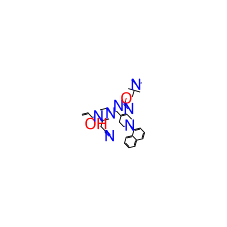 C=CC(O)N1CCN(c2nc(OCC(C)(C)N(C)C)nc3c2CCN(c2cccc4ccccc24)C3)CC1CC#N